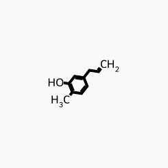 C=CCc1ccc(C)c(O)c1